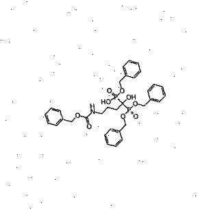 O=C(NCCCC(O)(P(=O)(O)OCc1ccccc1)P(=O)(OCc1ccccc1)OCc1ccccc1)OCc1ccccc1